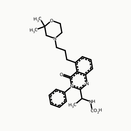 CC(NC(=O)O)c1nc2cccc(CCCN3CCOC(C)(C)C3)c2c(=O)n1-c1ccccc1